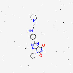 Cn1c(=O)c2nc(-c3ccc(NCCCN4CCCCC4)cc3)nnc2n(C2CCCC2)c1=O